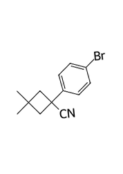 CC1(C)CC(C#N)(c2ccc(Br)cc2)C1